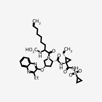 C=CCCCCCC(NC(=O)O)C(=O)N1C[C@H](Oc2nc3ccccc3nc2CC)C[C@H]1C(=O)N[C@]1(C(=O)NS(=O)(=O)C2CC2)C[C@H]1C=C